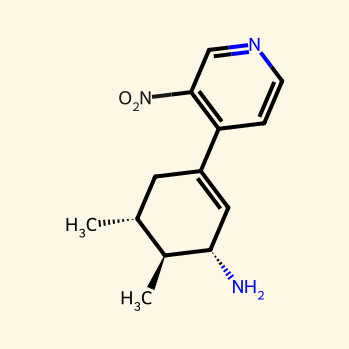 C[C@H]1[C@H](C)CC(c2ccncc2[N+](=O)[O-])=C[C@@H]1N